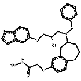 CCCCNC(=O)COc1ccc2c(c1)CC(N(Cc1ccccc1)C[C@H](O)COc1ccc3[nH]ccc3c1)CCC2